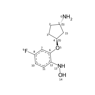 N[C@H]1CC[C@H](Oc2cc(F)ccc2NO)C1